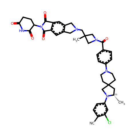 C[C@H]1CC2(CCN(c3ccc(C(=O)N4CC(C)(CN5Cc6cc7c(cc6C5)C(=O)N(C5CCC(=O)NC5=O)C7=O)C4)cc3)CC2)CN1c1ccc(C#N)c(Cl)c1